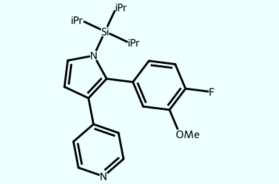 COc1cc(-c2c(-c3ccncc3)ccn2[Si](C(C)C)(C(C)C)C(C)C)ccc1F